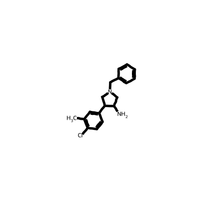 Cc1cc(C2CN(Cc3ccccc3)CC2N)ccc1Cl